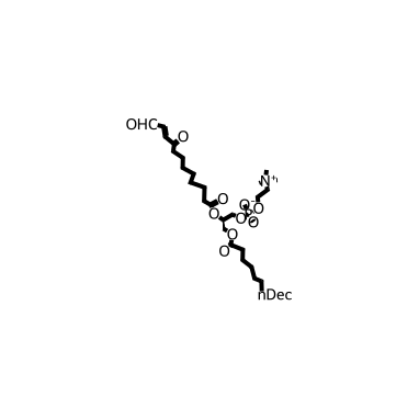 CCCCCCCCCCCCCCCC(=O)OC[C@H](COP(=O)([O-])OCC[N+](C)(C)C)OC(=O)CCCCCCCC(=O)/C=C/C=O